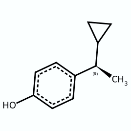 C[C@@H](c1ccc(O)cc1)C1CC1